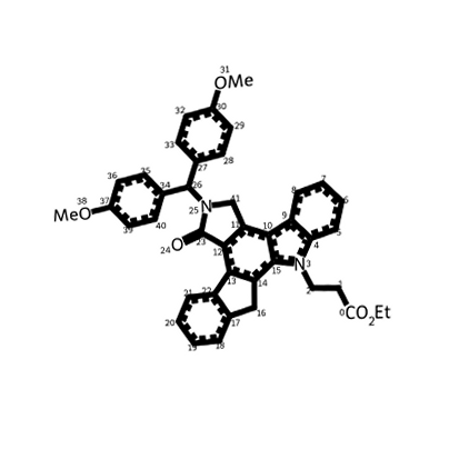 CCOC(=O)CCn1c2ccccc2c2c3c(c4c(c21)Cc1ccccc1-4)C(=O)N(C(c1ccc(OC)cc1)c1ccc(OC)cc1)C3